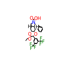 CCOC(=O)[C@H](O[C@H]1CC[C@@H]2CN(C(=O)O)C[C@H]2[C@@H]1c1ccccc1C)c1cc(C(F)(F)F)cc(C(F)(F)F)c1